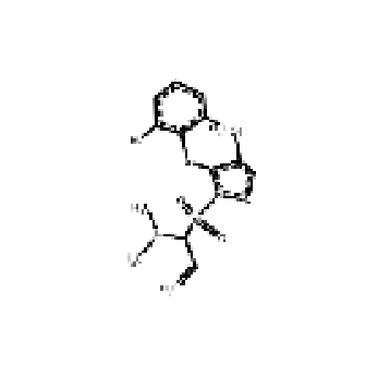 C=CC(N(C)C)S(=O)(=O)n1ncc(O)c1Sc1c(C)cccc1CC